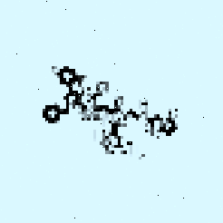 CC(C)(C)C(c1cc(-c2cc(F)ccc2F)cn1Cc1ccccc1)N(CCC(NC(=O)C(CC(N)=O)NC(=O)O)C(=O)NCCNC(=O)CN1C(=O)C=CC1=O)C(=O)CO